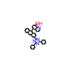 Oc1ccc(-c2c3ccccc3cc3cc(-c4nc(-c5ccccc5)nc(-c5ccccc5)n4)ccc23)c2cccnc12